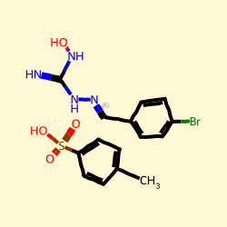 Cc1ccc(S(=O)(=O)O)cc1.N=C(NO)N/N=C/c1ccc(Br)cc1